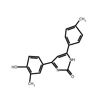 Cc1ccc(-c2cc(-c3ccc(O)c(C)c3)nc(=O)[nH]2)cc1